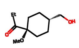 CCC(=O)[C@]1(OC)CC[C@H](CO)CC1